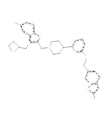 CCc1cc2ccc(COc3cccc(C4CCN(Cc5nc6ccc(C)cc6n5CC5CCO5)CC4)n3)cn2n1